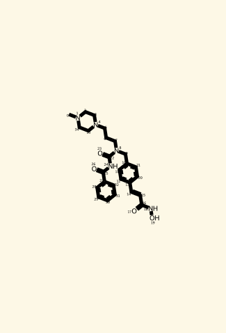 CN1CCN(CCCN(Cc2ccc(/C=C/C(=O)NO)cc2)C(=O)NC(=O)c2ccccc2)CC1